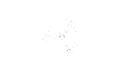 c1ccc(-c2nc3ccccc3n2-c2ccc(-c3nc(-c4ccc(N5c6ccccc6NC5c5ccccc5)cc4)nc(-c4ccc(-n5c(-c6ccccc6)nc6ccccc65)cc4)n3)cc2)cc1